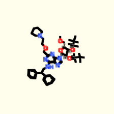 COC[C@H]1O[C@@H](n2cnc3c(NCC(c4ccccc4)c4ccccc4)nc(COCCN4CCCCC4)nc32)[C@@H](O[Si](C)(C)C(C)(C)C)[C@@H]1O[Si](C)(C)C(C)(C)C